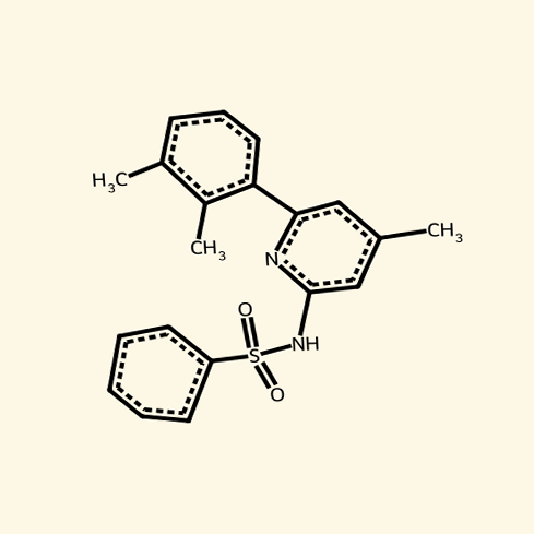 Cc1cc(NS(=O)(=O)c2ccccc2)nc(-c2cccc(C)c2C)c1